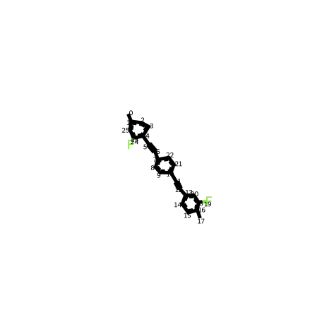 Cc1ccc(C#Cc2ccc(C#Cc3ccc(C)c(F)c3)cc2)c(F)c1